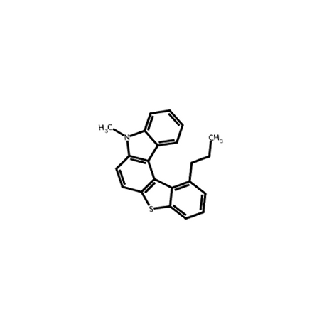 CCCc1cccc2sc3ccc4c(c5ccccc5n4C)c3c12